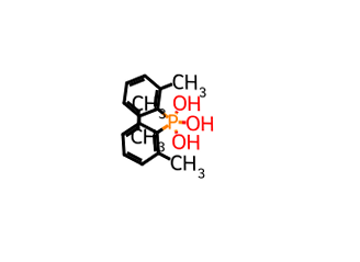 Cc1cccc(C)c1P(O)(O)(O)c1c(C)cccc1C